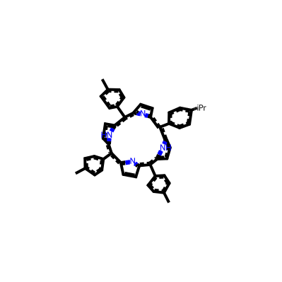 Cc1ccc(-c2c3nc(c(-c4ccc(C)cc4)c4ccc([nH]4)c(-c4ccc(C(C)C)cc4)c4nc(c(-c5ccc(C)cc5)c5ccc2[nH]5)C=C4)C=C3)cc1